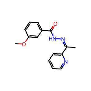 COc1cccc(C(=O)NN=C(C)c2ccccn2)c1